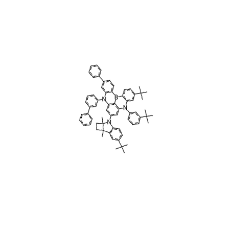 CC(C)(C)c1cccc(N2c3cc(C(C)(C)C)ccc3B3c4ccc(-c5ccccc5)cc4N(c4cccc(-c5ccccc5)c4)c4cc(N5c6ccc(C(C)(C)C)cc6C6(C)CCC56C)cc2c43)c1